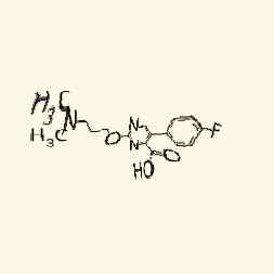 CN(C)CCCOc1ncc(-c2ccc(F)cc2)c(C(=O)O)n1